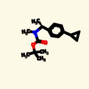 C[C@H](c1ccc(C2CC2)cc1)N(C)C(=O)OC(C)(C)C